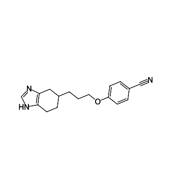 N#Cc1ccc(OCCCC2CCc3[nH]cnc3C2)cc1